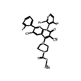 CCCCOC(=O)N1CCN(c2c(C#N)c(=O)n(-c3c(C(C)C)ccnc3C(C)C)c3nc(-c4ccccc4F)c(Cl)cc23)CC1